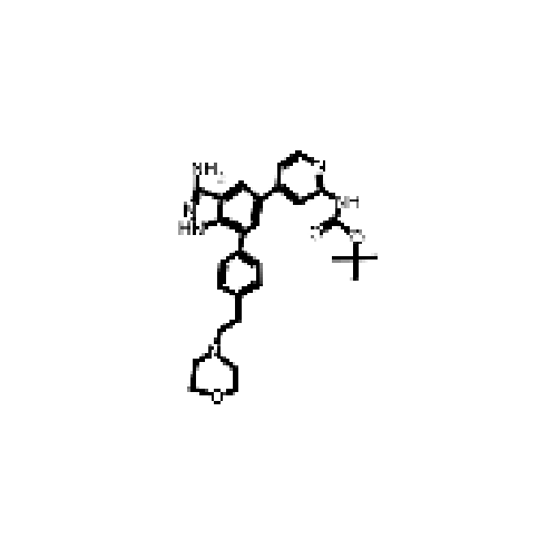 CC(C)(C)OC(=O)Nc1cc(-c2cc(-c3ccc(CCN4CCOCC4)cc3)c3[nH]nc(N)c3c2)ccn1